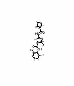 Cc1cccc(Cl)c1NC(=O)c1sc(NC(=O)c2ccsc2)nc1C